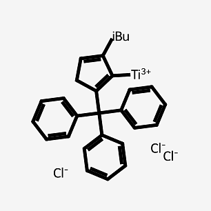 CCC(C)C1=CCC(C(c2ccccc2)(c2ccccc2)c2ccccc2)=[C]1[Ti+3].[Cl-].[Cl-].[Cl-]